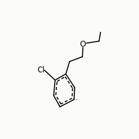 CCOCCc1c[c]ccc1Cl